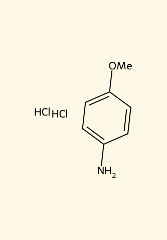 COc1ccc(N)cc1.Cl.Cl